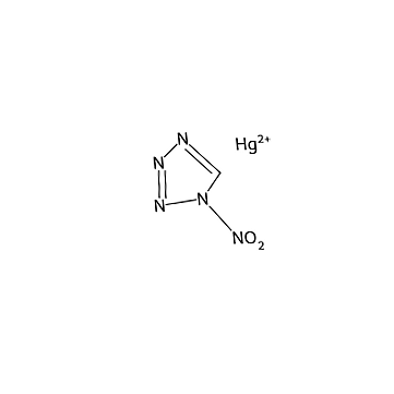 O=[N+]([O-])n1cnnn1.[Hg+2]